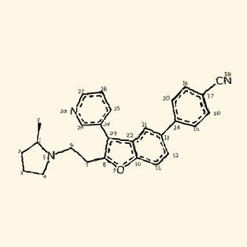 C[C@@H]1CCCN1CCc1oc2ccc(-c3ccc(C#N)cc3)cc2c1-c1cccnc1